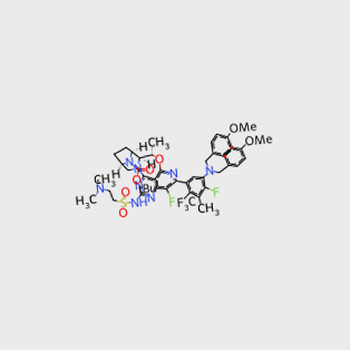 COc1ccc(CN(Cc2ccc(OC)cc2)c2cc(-c3nc4c5c(nc(NS(=O)(=O)CCN(C)C)nc5c3F)N3C[C@H]5CC[C@@H]([C@H]3[C@H](C)O4)N5C(=O)OC(C)(C)C)c(C(F)(F)F)c(C)c2F)cc1